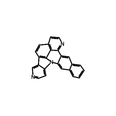 c1ccc2cc3c(cc2c1)c1nccc2ccc4c5cnccc5n3c4c21